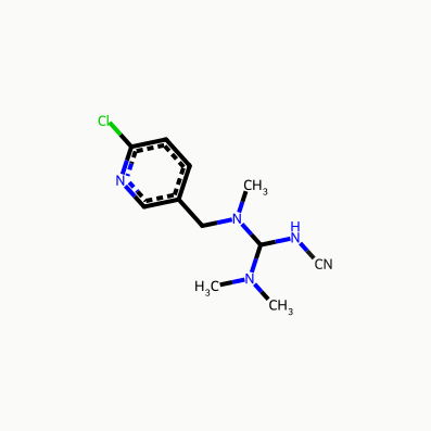 CN(C)C(NC#N)N(C)Cc1ccc(Cl)nc1